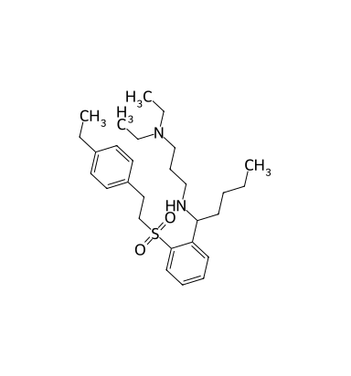 CCCCC(NCCCN(CC)CC)c1ccccc1S(=O)(=O)CCc1ccc(CC)cc1